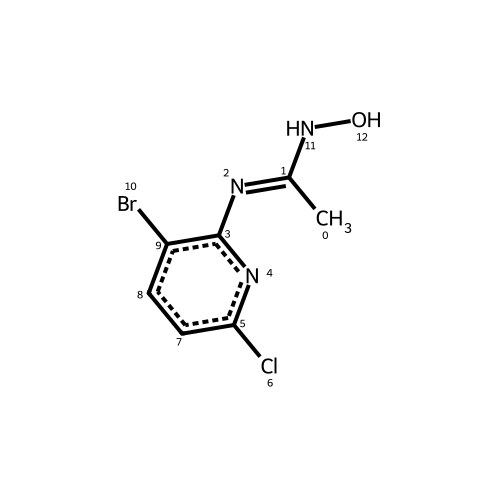 C/C(=N\c1nc(Cl)ccc1Br)NO